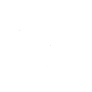 N#Cc1cc(S(=O)(=O)CC2CCC(=O)CC2)ccc1Br